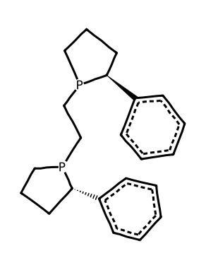 c1ccc([C@@H]2CCCP2CCP2CCC[C@H]2c2ccccc2)cc1